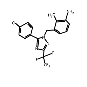 Cc1c(N)cccc1Cn1nc(C(F)(F)C(F)(F)F)nc1-c1ccc(Cl)nc1